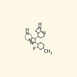 Cc1ccc(-c2nn3c(c2-c2ccnc4[nH]ccc24)CNCC3)c(F)c1